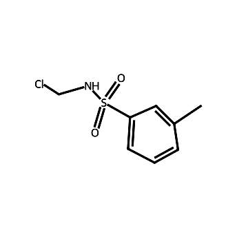 Cc1cccc(S(=O)(=O)NCCl)c1